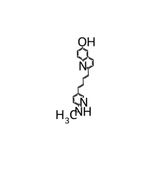 CNc1ccc(C=CC=Cc2ccc3cc(O)ccc3n2)cn1